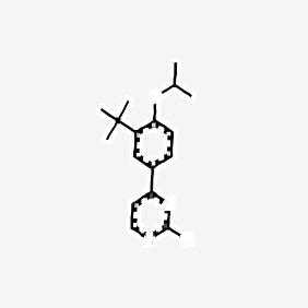 CC(C)Oc1ccc(-c2ccnc(Cl)n2)cc1C(C)(C)C